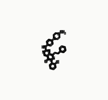 CN1CCN(c2ccc(Nc3ncc4c(=O)n(-c5ccccc5Cl)nc(CCc5ccccc5)c4n3)cc2)CC1